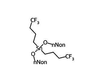 CCCCCCCCC[O][Sn]([CH2]CCC(F)(F)F)([CH2]CCC(F)(F)F)[O]CCCCCCCCC